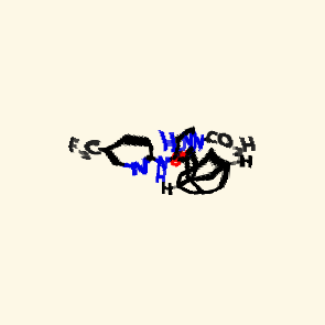 NC(=O)C12CC3C[C@H](C1)C(C1C(Nc4ccc(C(F)(F)F)cn4)CCN1C(=O)O)[C@@H](C3)C2